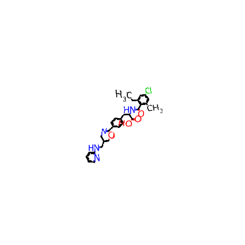 CCc1cc(Cl)cc(C)c1C(=O)NC(Cc1ccc(C2=NCC(CNc3ccccn3)CO2)cc1)C(=O)O